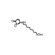 CCCCCCCCCCCCCCCCCCNC1=CC(=O)C(=O)C=C1